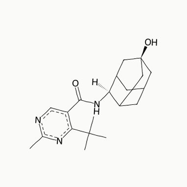 Cc1ncc(C(=O)N[C@H]2C3CC4CC2C[C@@](O)(C4)C3)c(C(C)(C)C)n1